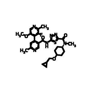 COc1cnc(C)c(F)c1-c1cc(C)ncc1C(=O)Nc1nnc(C(=O)N(C)[C@H]2CC[C@H](OCC3CC3)CC2)s1